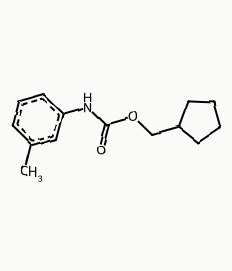 Cc1cccc(NC(=O)OCC2CCCC2)c1